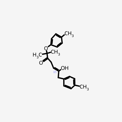 Cc1ccc(C/C(O)=C/CC(=O)C(C)(C)Oc2ccc(C)cc2)cc1